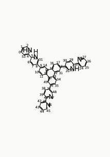 C1=CCNC(C2C=CC(c3ccc4c(c3)c3ccc(C5=CNC(c6ccccn6)C=C5)cc3c3ccc(-c5ccc(-c6ccccn6)nc5)cc43)=CN2)=C1